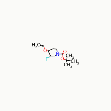 C=CO[C@@H]1CCN(C(=O)OC(C)(C)C)C[C@H]1F